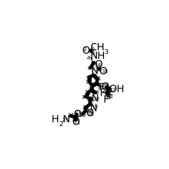 CC(=O)NC[C@H]1CN(c2ccc(-c3ccc(C4=NOC(COC(=O)CN)C4)nc3)c(F)c2)C(=O)O1.O=C(O)C(F)(F)F